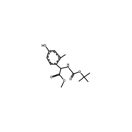 COC(=O)C(NC(=O)OC(C)(C)C)c1ccc(O)cc1C